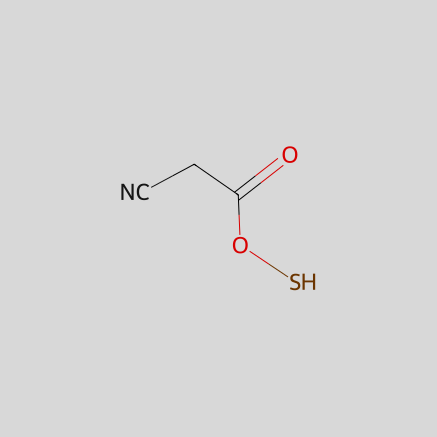 N#CCC(=O)OS